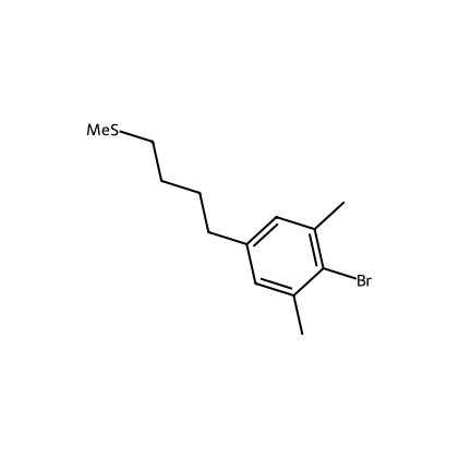 CSCCCCc1cc(C)c(Br)c(C)c1